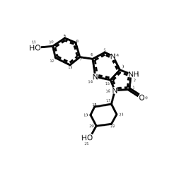 O=c1[nH]c2ncc(-c3ccc(O)cc3)nc2n1C1CCC(O)CC1